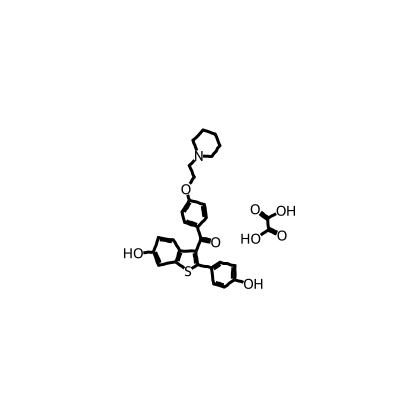 O=C(O)C(=O)O.O=C(c1ccc(OCCN2CCCCC2)cc1)c1c(-c2ccc(O)cc2)sc2cc(O)ccc12